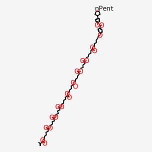 C=C(C)C(=O)OCCCCCC(=O)OCCCCC(=O)OCCCCC(=O)OCCCCCC(=O)OCCCCC(=O)OCCCCCC(=O)OCCCCC(=O)OCCCCCC(=O)OCCCCCCOc1ccc(C(=O)Oc2ccc(C3CCC(CCCCC)CC3)cc2)cc1